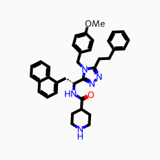 COc1ccc(Cn2c(CCc3ccccc3)nnc2[C@@H](Cc2cccc3ccccc23)NC(=O)C2CCNCC2)cc1